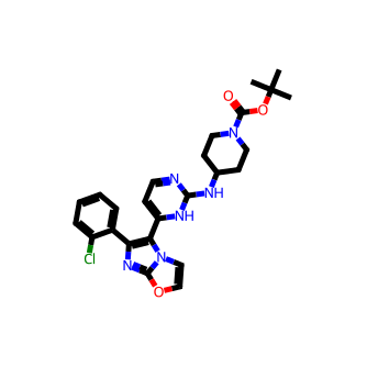 CC(C)(C)OC(=O)N1CCC(NC2N=CC=C(c3c(-c4ccccc4Cl)nc4occn34)N2)CC1